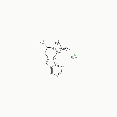 CC(C)CC1=Cc2ccccc2[CH]1[Zr+2][SiH](C)C.[Br-].[Br-]